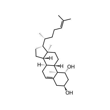 CC(C)=CCC[C@@H](C)[C@H]1CC[C@H]2[C@@H]3CC=C4C[C@H](O)C[C@@H](O)[C@]4(C)[C@H]3CC[C@]12C